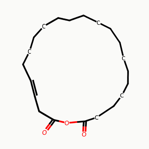 O=C1C/C=C/CCCCCCCCCCCCCCCCC(=O)O1